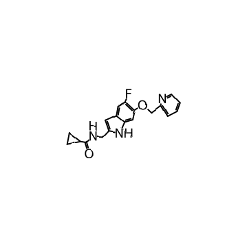 O=C(NCc1cc2cc(F)c(OCc3ccccn3)cc2[nH]1)C1CC1